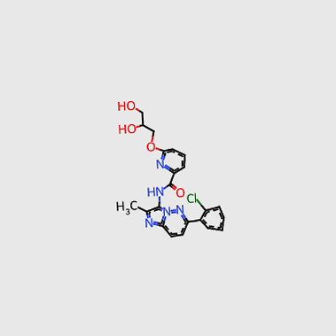 Cc1nc2ccc(-c3ccccc3Cl)nn2c1NC(=O)c1cccc(OCC(O)CO)n1